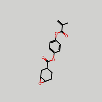 C=C(C)C(=O)Oc1ccc(OC(=O)C2CCC3OC3C2)cc1